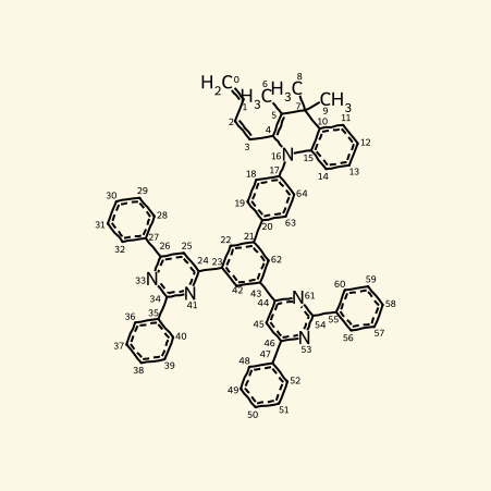 C=C/C=C\C1=C(C)C(C)(C)c2ccccc2N1c1ccc(-c2cc(-c3cc(-c4ccccc4)nc(-c4ccccc4)n3)cc(-c3cc(-c4ccccc4)nc(-c4ccccc4)n3)c2)cc1